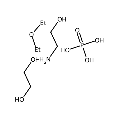 CCOCC.NCCO.O=P(O)(O)O.OCCO